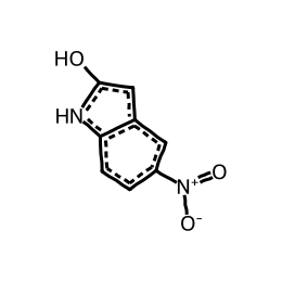 O=[N+]([O-])c1ccc2[nH]c(O)cc2c1